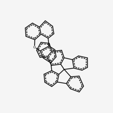 c1ccc2c(c1)-c1cc3ccccc3cc1C21c2ccccc2-c2cccc(-c3ccc4c(c3)Oc3cccc5cccc-4c35)c21